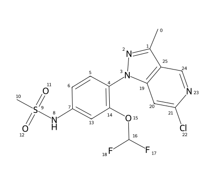 Cc1nn(-c2ccc(NS(C)(=O)=O)cc2OC(F)F)c2cc(Cl)ncc12